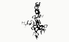 CCOC(=O)C1(c2ccc(OC(F)F)cc2)CN(C(=O)Nc2ccc(OC(F)(F)F)cc2)N=C1c1ccc(C(F)(F)F)c(Cl)c1